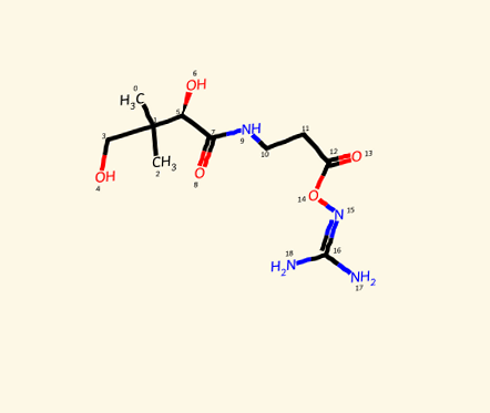 CC(C)(CO)[C@@H](O)C(=O)NCCC(=O)ON=C(N)N